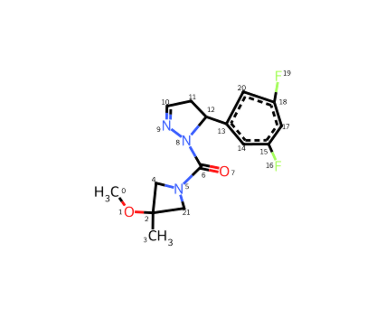 COC1(C)CN(C(=O)N2N=CCC2c2cc(F)cc(F)c2)C1